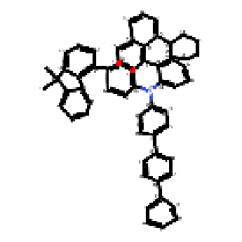 CC1(C)c2ccccc2-c2c(-c3ccc(N(c4ccc(-c5ccc(-c6ccccc6)cc5)cc4)c4ccccc4-c4cccc5cccc(C6CCCCC6)c45)cc3)cccc21